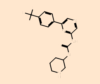 O=C(Nc1cncc(-c2ccc(C(F)(F)F)cc2)n1)NC1CCCNC1